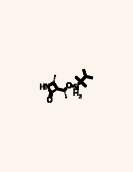 CC(C)C(C)(C)[SiH2]O[C@H](C)[C@H]1C(=O)N[C@@H]1C